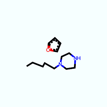 CCCCCN1CCNCC1.c1ccoc1